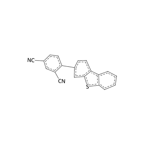 N#Cc1ccc(-c2ccc3c(c2)sc2ccccc23)c(C#N)c1